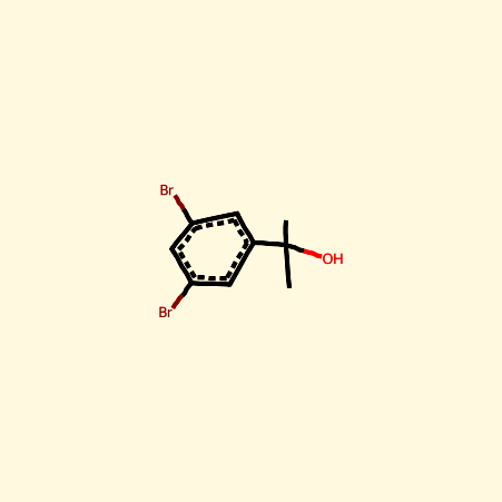 CC(C)(O)c1cc(Br)cc(Br)c1